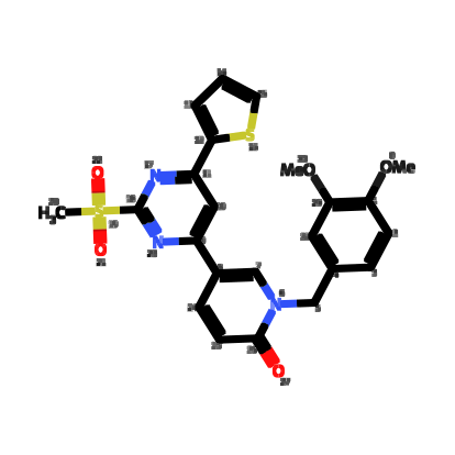 COc1ccc(Cn2cc(-c3cc(-c4cccs4)nc(S(C)(=O)=O)n3)ccc2=O)cc1OC